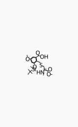 CN[C@@H](CSCc1c(O[Si](C)(C)C(C)(C)C)cc(OC)cc1C(=O)O)C(=O)OC